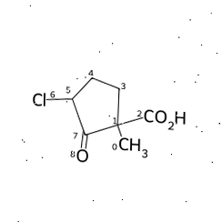 CC1(C(=O)O)CCC(Cl)C1=O